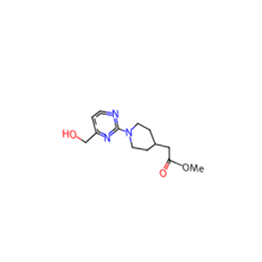 COC(=O)CC1CCN(c2nccc(CO)n2)CC1